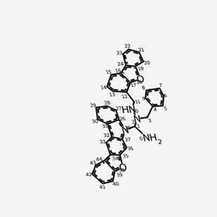 NC(N(Cc1ccccc1)NCc1cccc2c1oc1ccccc12)n1c2ccccc2c2cc3c(cc21)oc1ccccc13